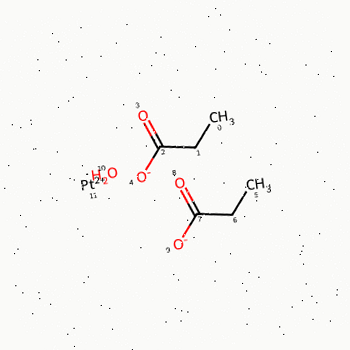 CCC(=O)[O-].CCC(=O)[O-].O.[Pt+2]